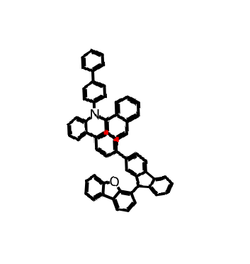 c1ccc(-c2ccc(N(c3ccccc3-c3ccc(-c4ccc5c(c4)C(c4cccc6c4oc4ccccc46)c4ccccc4-5)cc3)c3cccc4ccccc34)cc2)cc1